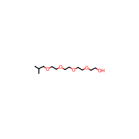 CC(C)COCCOCCOCCOCCO